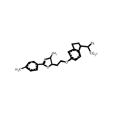 CCC(C(=O)O)C1CCc2cc(OCCC3OC(c4ccc(C)cc4)=NC3C)ccc21